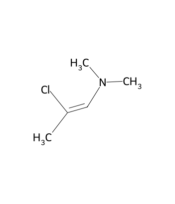 CC(Cl)=CN(C)C